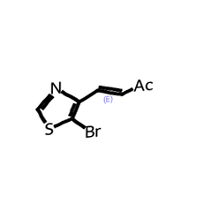 CC(=O)/C=C/c1ncsc1Br